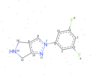 Fc1cc(F)cc(-n2cc3c(n2)CNC3)c1